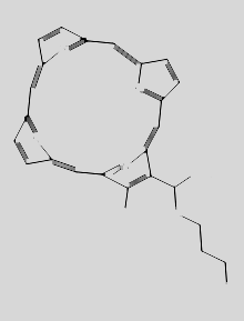 [2H]C1=C(C(C)OCCCF)C2=CC3=NC(=CC4=NC(=CC5=NC(=CC1=N2)C=C5)C=C4)C=C3